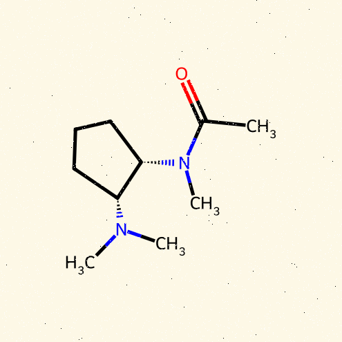 CC(=O)N(C)[C@H]1CCC[C@H]1N(C)C